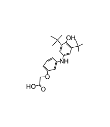 CC(C)(C)c1cc(Nc2cccc(OCC(=O)O)c2)cc(C(C)(C)C)c1O